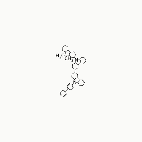 CC1(C)C2=C(CCC(N3C4=C(CCC=C4)C4CC(C5CCC6C(C5)C5C=CC=CC5N6c5ccc(-c6ccccc6)cc5)C=CC43)=C2)C2CCC=CC21